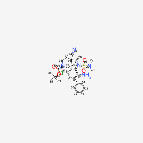 C=C(N(c1cc(Cl)cc(-c2ccccc2)c1N)S(=O)(=O)N(C)C)C1(C#N)CCN(C(=O)OC(C)(C)C)CC1